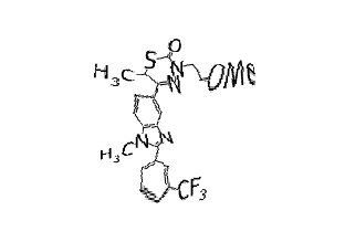 COCCN1N=C(c2ccc3c(c2)nc(-c2cccc(C(F)(F)F)c2)n3C)C(C)SC1=O